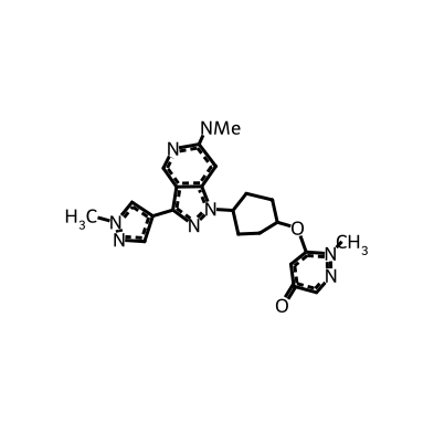 CNc1cc2c(cn1)c(-c1cnn(C)c1)nn2C1CCC(Oc2cc(=O)cnn2C)CC1